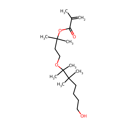 C=C(C)C(=O)OC(C)(C)CCOC(C)(C)C(C)(C)CCCCO